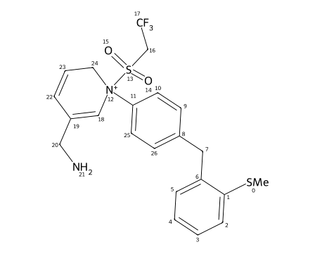 CSc1ccccc1Cc1ccc([N+]2(S(=O)(=O)CC(F)(F)F)C=C(CN)C=CC2)cc1